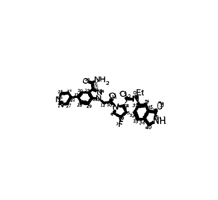 CCN(C(=O)[C@@H]1C[C@@H](F)CN1C(=O)Cn1nc(C(N)=O)c2cc(-c3ccnnc3)ccc21)c1ccc2c(c1)C(=O)NC2